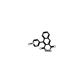 COC(=O)c1cc2ccccc2c(-c2cc[n+]([O-])cc2)c1C(=O)OC